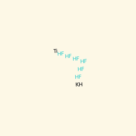 F.F.F.F.F.F.[KH].[Ti]